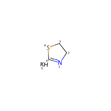 [C]1=NCCS1.[KH]